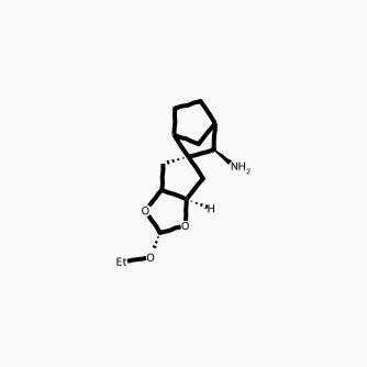 CCO[C@@H]1OC2C[C@]3(C[C@H]2O1)C1CCC(C1)[C@H]3N